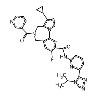 CC(C)n1cnnc1-c1cccc(NC(=O)c2cc3c(cc2F)CN(C(=O)c2cccnc2)Cc2c(C4CC4)ncn2-3)n1